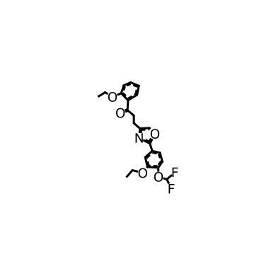 CCOc1cc(-c2nc(CCC(=O)c3ccccc3OCC)co2)ccc1OC(F)F